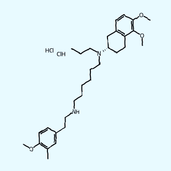 CCCN(CCCCCCNCCc1ccc(OC)c(C)c1)[C@H]1CCc2c(ccc(OC)c2OC)C1.Cl.Cl